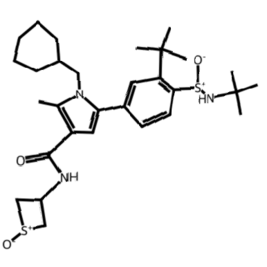 Cc1c(C(=O)NC2C[S+]([O-])C2)cc(-c2ccc([S+]([O-])NC(C)(C)C)c(C(C)(C)C)c2)n1CC1CCCCC1